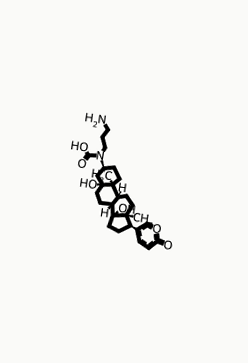 C[C@]12CC[C@H](N(CCCN)C(=O)O)C[C@@]1(O)CC[C@@H]1[C@@H]2CC[C@]2(C)[C@@H](c3ccc(=O)oc3)CC[C@]12O